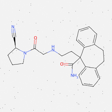 N#C[C@@H]1CCCN1C(=O)CNCCC1(C(N)=O)c2ccccc2CCc2ccccc21